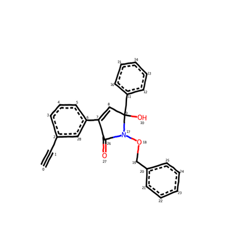 C#Cc1cccc(C2=CC(O)(c3ccccc3)N(OCc3ccccc3)C2=O)c1